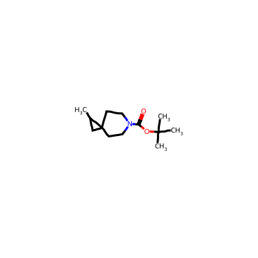 CC1CC12CCN(C(=O)OC(C)(C)C)CC2